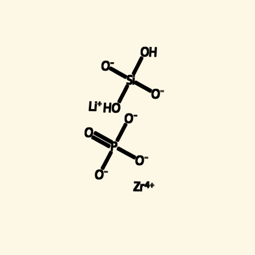 O=P([O-])([O-])[O-].[Li+].[O-][Si]([O-])(O)O.[Zr+4]